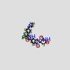 O=C1CCC(N2Cc3cc(C(=O)NC(c4ccc(CN5CCC5)cc4)C(F)(F)F)ccc3C2=O)C(=O)N1